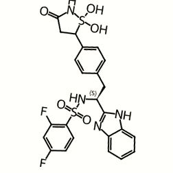 O=C1CC(c2ccc(C[C@H](NS(=O)(=O)c3ccc(F)cc3F)c3nc4ccccc4[nH]3)cc2)S(O)(O)N1